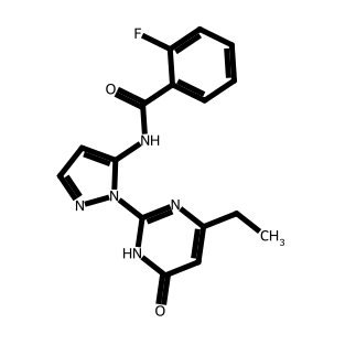 CCc1cc(=O)[nH]c(-n2nccc2NC(=O)c2ccccc2F)n1